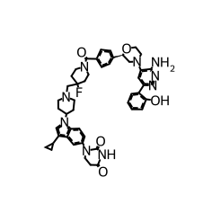 Nc1nnc(-c2ccccc2O)cc1N1CCO[C@H](c2ccc(C(=O)N3CCC(F)(CN4CCC(n5cc(C6CC6)c6cc(N7CCC(=O)NC7=O)ccc65)CC4)CC3)cc2)C1